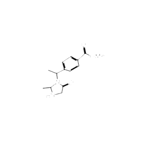 COC(=O)c1ccc(C(C)N2C(=O)CNC2C)cc1